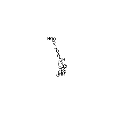 O=C(O)COCCOCCOCCOCCNC(=O)CNc1cccc2c1C(=O)N(C1CCC(=O)NC1=O)C2=O